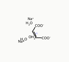 O.O.O.O=C([O-])/C=C\C(=O)[O-].[Na+].[Na+]